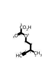 C#CC(C)CCOC(=O)C(=O)O